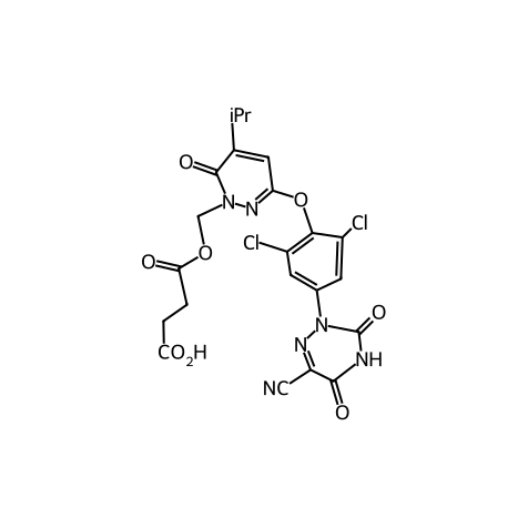 CC(C)c1cc(Oc2c(Cl)cc(-n3nc(C#N)c(=O)[nH]c3=O)cc2Cl)nn(COC(=O)CCC(=O)O)c1=O